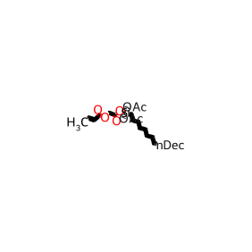 CC=CC(=O)OCC(=O)O[Si](CCCCCCCCCCCCCCCCCC)(OC(C)=O)OC(C)=O